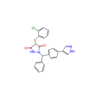 O=C1NN(C(c2ccccc2)c2ccc(-c3cn[nH]c3)cc2)C(=O)C1Sc1ccccc1Cl